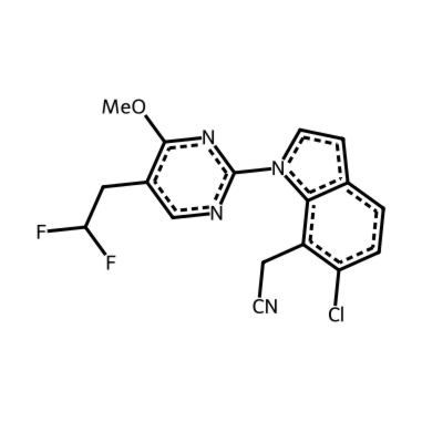 COc1nc(-n2ccc3ccc(Cl)c(CC#N)c32)ncc1CC(F)F